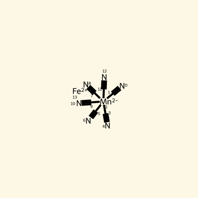 N#[C][Mn-2]([C]#N)([C]#N)([C]#N)([C]#N)[C]#N.[Fe+2]